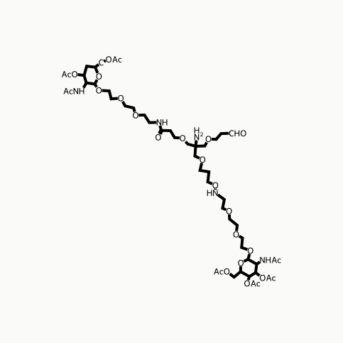 CC(=O)NC1C(OC(C)=O)CC(COC(C)=O)OC1OCCOCCOCCNC(=O)CCOCC(N)(COCCC=O)COCCCONCCOCCOCCOC1OC(COC(C)=O)C(OC(C)=O)C(OC(C)=O)C1NC(C)=O